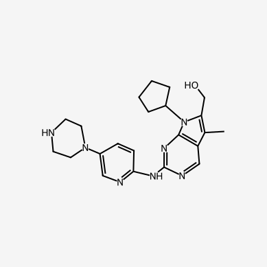 Cc1c(CO)n(C2CCCC2)c2nc(Nc3ccc(N4CCNCC4)cn3)ncc12